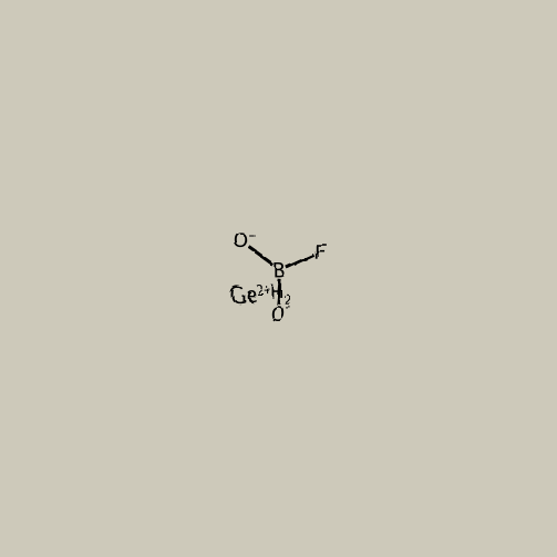 [GeH2+2].[O-]B([O-])F